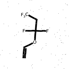 C=COC(F)(F)CC(F)(F)F